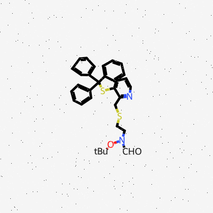 CC(C)(C)ON(C=O)CCSCc1ncccc1SC(c1ccccc1)(c1ccccc1)c1ccccc1